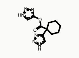 O=C(Oc1c[nH]nn1)C1(c2c[nH]nn2)CCCCC1